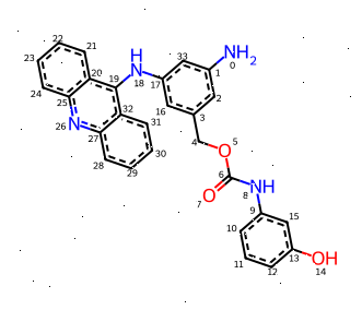 Nc1cc(COC(=O)Nc2cccc(O)c2)cc(Nc2c3ccccc3nc3ccccc23)c1